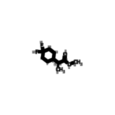 COC(=O)[C@@H](C)C1CCC(F)(F)CC1